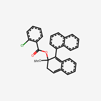 COC1(OC(=O)c2ccccc2Cl)CC=c2ccccc2=C1c1cccc2ccccc12